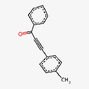 Cc1ccc(C#CC(=O)c2ccccc2)cc1